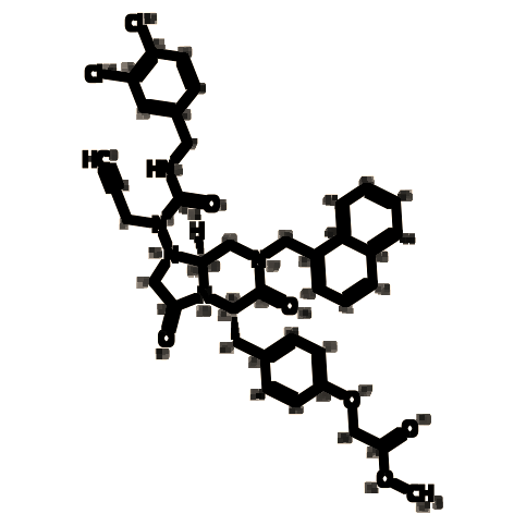 C#CCN(C(=O)NCc1ccc(Cl)c(Cl)c1)N1CC(=O)N2[C@@H](Cc3ccc(OCC(=O)OC)cc3)C(=O)N(Cc3cccc4ccccc34)C[C@@H]21